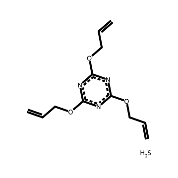 C=CCOc1nc(OCC=C)nc(OCC=C)n1.S